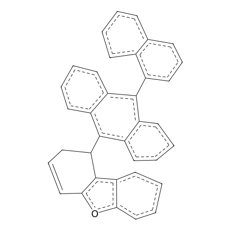 C1=Cc2oc3ccccc3c2C(c2c3ccccc3c(-c3cccc4ccccc34)c3ccccc23)C1